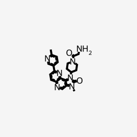 Cc1ccc(-c2ccc3ncc4c(c3n2)n(C2CCN(C(=O)CN)CC2)c(=O)n4C)cn1